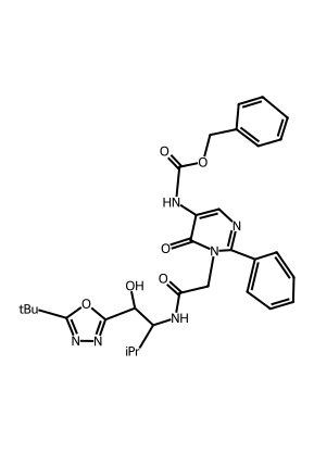 CC(C)C(NC(=O)Cn1c(-c2ccccc2)ncc(NC(=O)OCc2ccccc2)c1=O)C(O)c1nnc(C(C)(C)C)o1